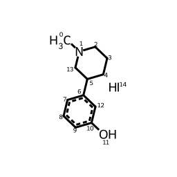 CN1CCCC(c2cccc(O)c2)C1.I